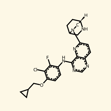 Fc1c(Nc2ncnc3ccc(N4C[C@@H]5CCC4CN5)nc23)ccc(OCC2CC2)c1Cl